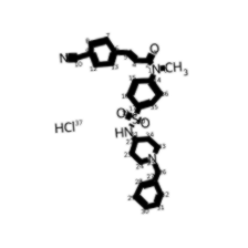 CN(C(=O)/C=C/c1ccc(C#N)cc1)c1ccc(S(=O)(=O)NC2CCN(Cc3ccccc3)CC2)cc1.Cl